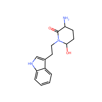 NC1CCC(O)N(CCc2c[nH]c3ccccc23)C1=O